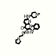 CN1CCC(Nc2ccc3c(=O)c(NOCCN4CCCC4)c4n(C)c5ccccc5n4c3n2)CC1